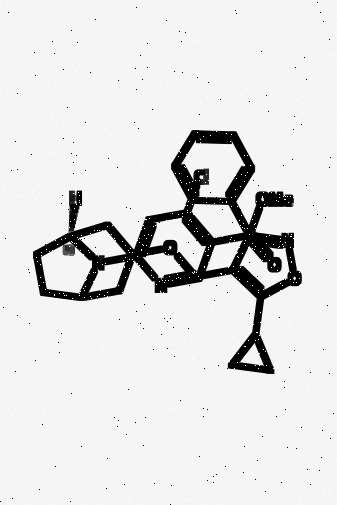 COC(=O)c1cnc(N2C3CC[C@H]2CC(OCc2c(-c4ccccc4)noc2C2CC2)C3)cc1Cl